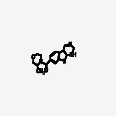 C[C@H]1COCCN1C(=O)c1ccc2c(c1)SC1NCN=CC21